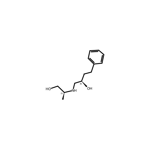 C[C@@H](CO)NC[C@H](O)[CH]Cc1ccccc1